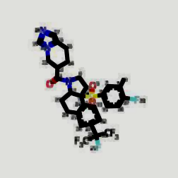 Cc1cc(S(=O)(=O)C23CCN(C(=O)C4CCc5cncn5C4)C2CCc2cc(C(F)(C(F)(F)F)C(F)(F)F)ccc23)ccc1F